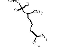 CC(C)=CCCC(C)C(Cl)(Cl)C=O